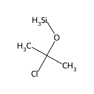 CC(C)(Cl)O[SiH3]